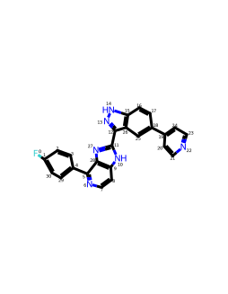 Fc1ccc(-c2nccc3[nH]c(-c4n[nH]c5ccc(-c6ccncc6)cc45)nc23)cc1